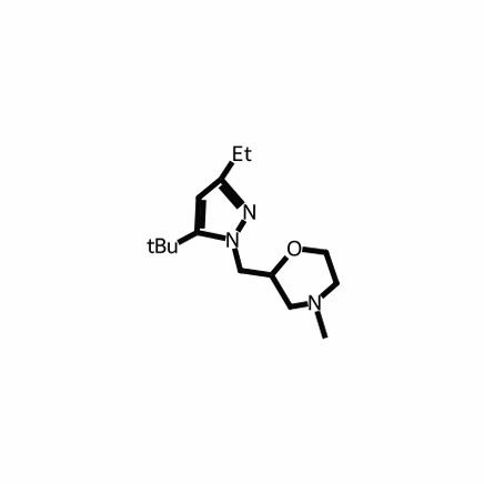 CCc1cc(C(C)(C)C)n(CC2CN(C)CCO2)n1